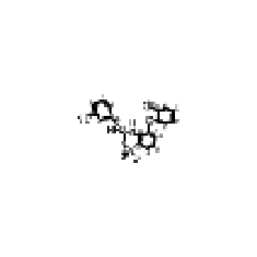 N#Cc1cccc(CNC2=NS(=O)(=O)c3cccc(Oc4ccccc4Cl)c3N2)c1